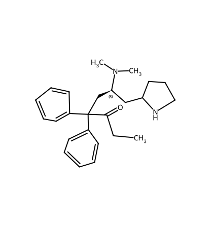 CCC(=O)C(C[C@H](CC1CCCN1)N(C)C)(c1ccccc1)c1ccccc1